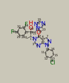 CC(n1cnc2c(cnn2-c2ccc(Cl)cc2)c1=O)C(O)(Cn1cncn1)c1ccc(F)cc1F